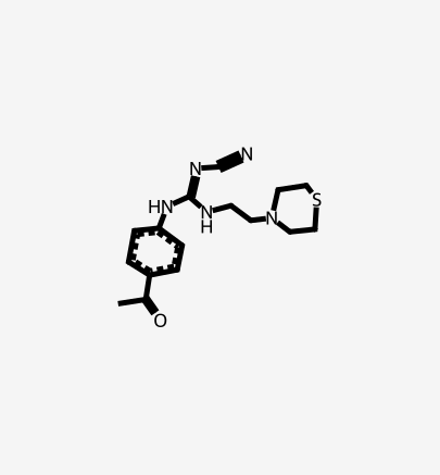 CC(=O)c1ccc(N/C(=N/C#N)NCCN2CCSCC2)cc1